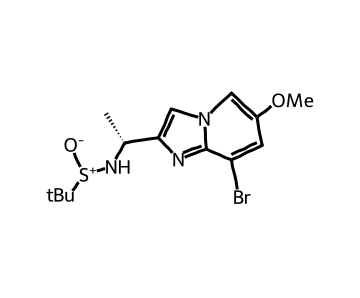 COc1cc(Br)c2nc([C@@H](C)N[S+]([O-])C(C)(C)C)cn2c1